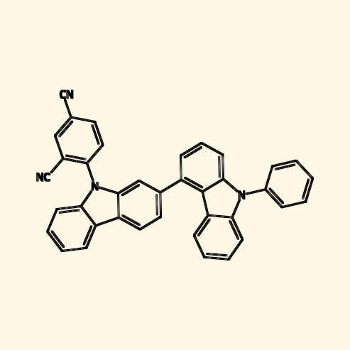 N#Cc1ccc(-n2c3ccccc3c3ccc(-c4cccc5c4c4ccccc4n5-c4ccccc4)cc32)c(C#N)c1